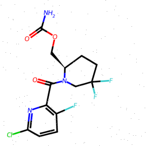 NC(=O)OC[C@H]1CCC(F)(F)CN1C(=O)c1nc(Cl)ccc1F